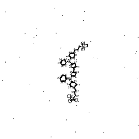 Cl[Si](Cl)(Cl)CCCc1ccc(N(c2ccccc2)c2ccc(-c3ccc(N(c4ccccc4)c4ccc(CCC[Si](Cl)(Cl)Cl)cc4)s3)s2)cc1